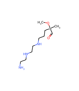 CO[Si](C)(C=O)CCCNCCNCCN